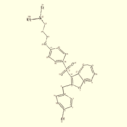 CCc1ccc(Cc2oc3ccccc3c2S(=O)(=O)c2ccc(OCCCN(CC)CC)cc2)cc1